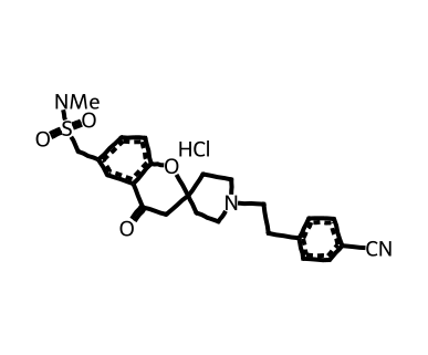 CNS(=O)(=O)Cc1ccc2c(c1)C(=O)CC1(CCN(CCc3ccc(C#N)cc3)CC1)O2.Cl